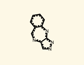 c1ccc2nc3nncc-3ncc2c1